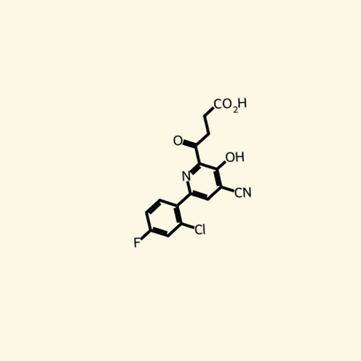 N#Cc1cc(-c2ccc(F)cc2Cl)nc(C(=O)CCC(=O)O)c1O